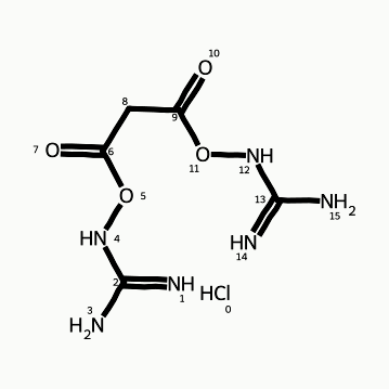 Cl.N=C(N)NOC(=O)CC(=O)ONC(=N)N